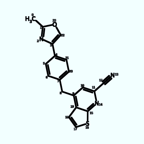 Cc1nc(-c2ccc(Cc3cc(C#N)nc4sccc34)cc2)co1